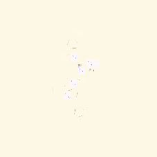 C[C@@H]1CN(CC(=O)N2CC(C)(C)c3ncc(Cc4ccc(F)cc4F)cc32)[C@@H](CN2Cc3cc(O)ccc3C2=O)CN1